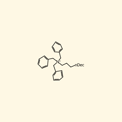 CCCCCCCCCCCCC[N+](Cc1ccccc1)(Cc1ccccc1)Cc1ccccc1